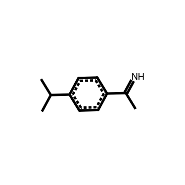 CC(=N)c1ccc(C(C)C)cc1